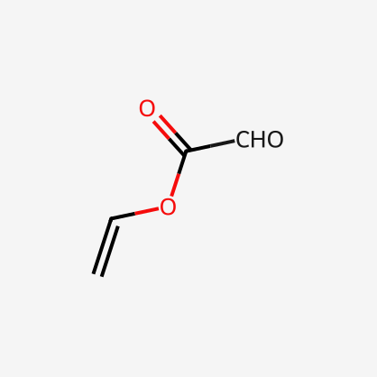 C=COC(=O)C=O